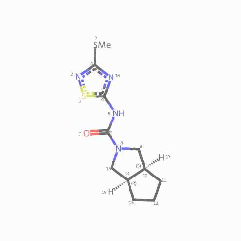 CSc1nsc(NC(=O)N2C[C@H]3CCC[C@H]3C2)n1